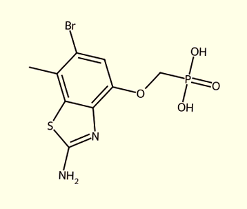 Cc1c(Br)cc(OCP(=O)(O)O)c2nc(N)sc12